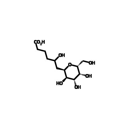 O=C(O)CCCC(O)C[C@H]1O[C@H](CO)[C@H](O)[C@H](O)[C@H]1O